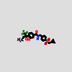 CCC(O)(c1ccc(C(=O)NCc2ccc(S(=O)(=O)CC3CC3)cc2)cc1)C(F)(F)F